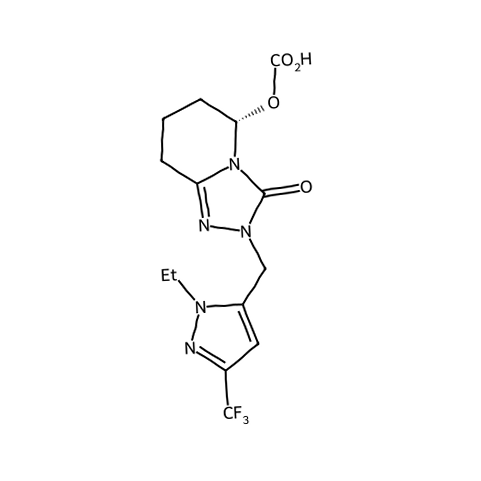 CCn1nc(C(F)(F)F)cc1Cn1nc2n(c1=O)[C@@H](OC(=O)O)CCC2